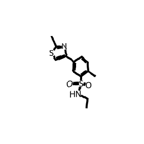 CCNS(=O)(=O)c1cc(-c2csc(C)n2)ccc1C